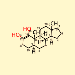 C[C@@]12CCC[C@H]1[C@@H]1CC[C@@H]3CCC(O)=C(O)[C@]3(C)[C@H]1CC2